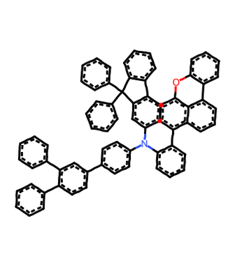 c1ccc(-c2ccc(-c3ccc(N(c4ccc5c(c4)C(c4ccccc4)(c4ccccc4)c4ccccc4-5)c4ccccc4-c4ccc5c6c(cccc46)-c4ccccc4O5)cc3)cc2-c2ccccc2)cc1